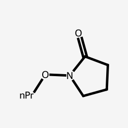 CCCON1CCCC1=O